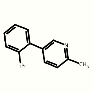 Cc1ccc(-c2ccccc2C(C)C)cn1